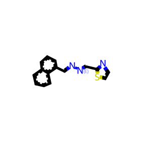 C(=N/N=C/c1nccs1)c1cccc2ccccc12